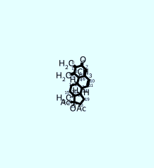 C=C1C(=C)[C@@]2(C)C(=CC1=O)C=C[C@@H]1[C@@H]2CC[C@@]2(C)[C@H]1CC[C@]2(OC(C)=O)C(C)=O